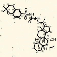 CC[C@H]1[C@@H](O)[C@@H]2[C@H](CC[C@]3(C)[C@@H]([C@H](C)CNC(=O)NS(=O)(=O)c4ccc5c(c4)CCC(C)(C)O5)CC[C@@H]23)[C@@]2(C)CCCC[C@@H]12